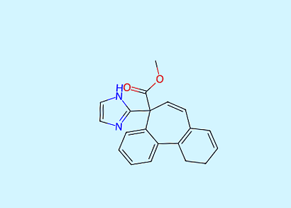 COC(=O)C1(c2ncc[nH]2)C=CC2=C(CCC=C2)c2ccccc21